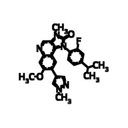 COc1cc2ncc3c(c2cc1-c1cnn(C)c1)n(-c1ccc(C(C)C)cc1F)c(=O)n3C